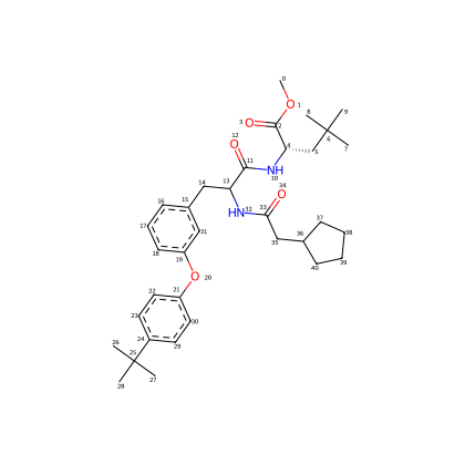 COC(=O)[C@H](CC(C)(C)C)NC(=O)C(Cc1cccc(Oc2ccc(C(C)(C)C)cc2)c1)NC(=O)CC1CCCC1